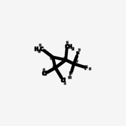 CC1C(Cl)(Cl)C1(C)C(F)(F)F